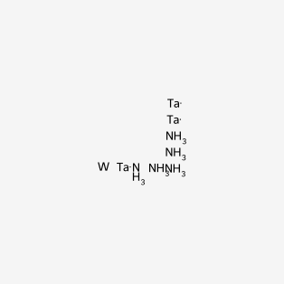 N.N.N.N.N.[Ta].[Ta].[Ta].[W]